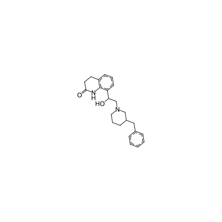 O=C1CCc2cccc(C(O)CN3CCCC(Cc4ccccc4)C3)c2N1